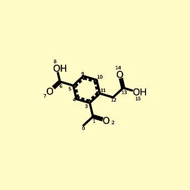 CC(=O)c1cc(C(=O)O)ccc1CC(=O)O